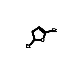 CCC1=CCC(CC)O1